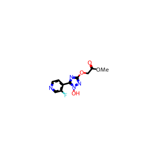 COC(=O)COc1nc(-c2ccncc2F)n(O)n1